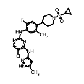 Cc1cc(Nc2nc(Nc3cc(C)c(C4CCN(S(=O)(=O)C5CC5)CC4)cc3F)ncc2Cl)n[nH]1